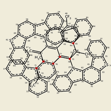 C=C(/C(=C(\C(CC(C)n1c2ccccc2c2ccccc21)=C(/C)n1c2ccccc2c2ccc3sc4ccccc4c3c21)c1cccc(C(F)(F)F)c1)n1c2ccccc2c2ccc3sc4ccccc4c3c21)c1cc(C(F)(F)F)ccc1CCC(C)C1c2ccccc2-c2ccccc21